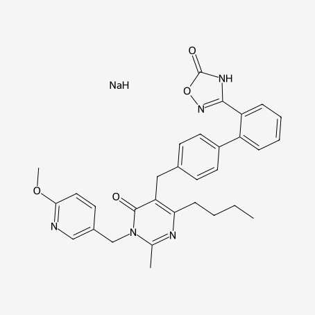 CCCCc1nc(C)n(Cc2ccc(OC)nc2)c(=O)c1Cc1ccc(-c2ccccc2-c2noc(=O)[nH]2)cc1.[NaH]